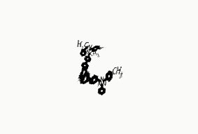 C=C(/N=C(\N=C(/C)c1ccc(-c2ccc3c(c2)-c2cc(-c4ccc(-c5nc(-c6ccccc6)nc(-c6ccc(C)cc6)n5)cc4)ccc2C3)cc1)c1ccc(F)cc1)c1ccccc1